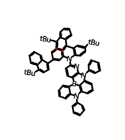 CC(C)(C)c1ccc(N(c2cccc(-c3ccc(C(C)(C)C)c4ccccc34)c2)c2ccc3c(n2)N(c2ccccc2)c2cccc4c2B3c2ccccc2N4c2ccccc2)c(-c2ccc(C(C)(C)C)c3ccccc23)c1